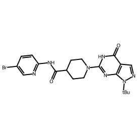 CC(C)(C)n1ncc2c(=O)[nH]c(N3CCC(C(=O)Nc4ccc(Br)cn4)CC3)nc21